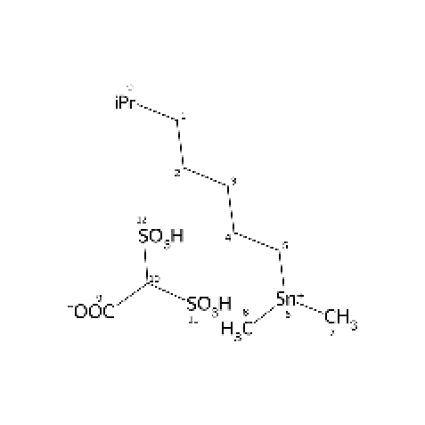 CC(C)CCCC[CH2][Sn+]([CH3])[CH3].O=C([O-])C(S(=O)(=O)O)S(=O)(=O)O